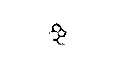 COC(=O)C1CCC2C=CCC(=O)N21